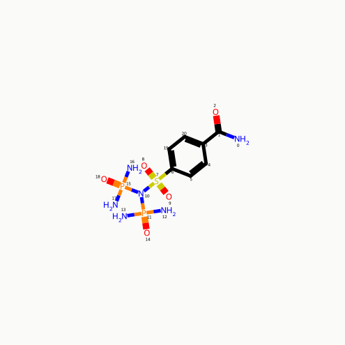 NC(=O)c1ccc(S(=O)(=O)N(P(N)(N)=O)P(N)(N)=O)cc1